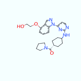 O=C([C@H]1CC[C@H](Nc2nccc(-n3ncc4c(OCCO)cccc43)n2)CC1)N1CCCC1